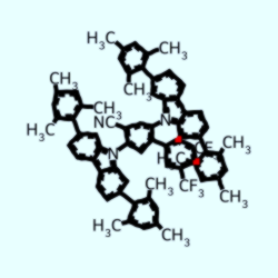 Cc1cc(C)c(-c2ccc3c4ccc(-c5c(C)cc(C)cc5C)cc4n(-c4cc(-c5cc(C(F)(F)F)cc(C(F)(F)F)c5)c(-n5c6cc(-c7c(C)cc(C)cc7C)ccc6c6ccc(-c7c(C)cc(C)cc7C)cc65)cc4C#N)c3c2)c(C)c1